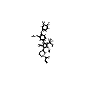 C=CC(=O)N1CCCC(c2c(Cl)c(-c3ccc(Oc4ccc(Cl)c(Cl)c4)c(OC)c3)c(/C(N)=N\C)n2N=C)C1